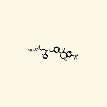 CCNc1cc2c(cn1)C(=O)N(c1cccc(COC(CCN(C)C(=O)O)c3cccs3)c1)CCN2C